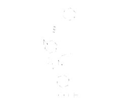 O=C(O)c1ccc(CN2C(=O)c3cc(C#CCc4ccccc4)ncc3OS2=O)cc1